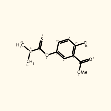 COC(=O)c1cc(OC(=S)N(C)C)ccc1Cl